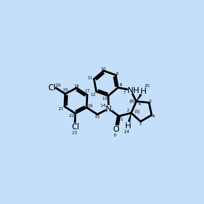 O=C1[C@H]2CCC[C@H]2Nc2ccccc2N1Cc1ccc(Cl)cc1Cl